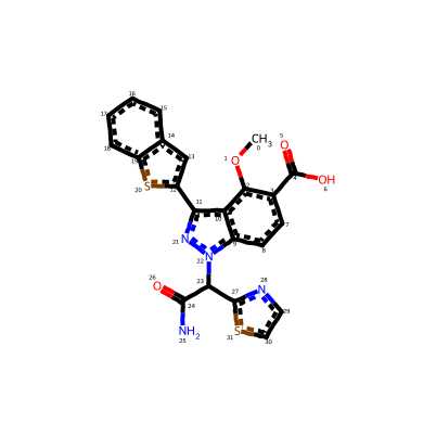 COc1c(C(=O)O)ccc2c1c(-c1cc3ccccc3s1)nn2C(C(N)=O)c1nccs1